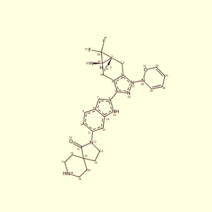 C[C@@]12Cc3c(c(-c4cc5ccc(N6CCC7(CCNCC7)C6=O)cc5[nH]4)nn3N3C=CC=CO3)C[C@@H]1C2(F)F